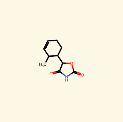 CC1C=CCCC1C1OC(=O)NC1=O